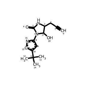 C#CCC1NC(=O)N(c2cc(C(C)(C)C)on2)C1O